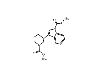 CCCCOC(=O)n1cc(C2CCCN(C(=O)OC(C)(C)C)C2)c2ccccc21